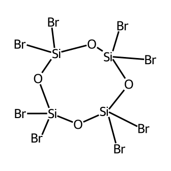 Br[Si]1(Br)O[Si](Br)(Br)O[Si](Br)(Br)O[Si](Br)(Br)O1